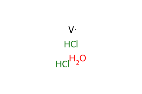 Cl.Cl.O.[V]